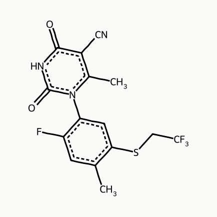 Cc1cc(F)c(-n2c(C)c(C#N)c(=O)[nH]c2=O)cc1SCC(F)(F)F